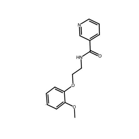 COc1c[c]ccc1OCCNC(=O)c1cccnc1